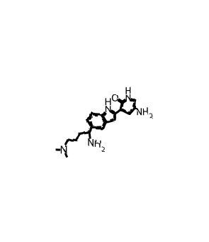 CN(C)CCCC(N)c1ccc2[nH]c(-c3cc(N)c[nH]c3=O)cc2c1